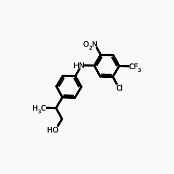 CC(CO)c1ccc(Nc2cc(Cl)c(C(F)(F)F)cc2[N+](=O)[O-])cc1